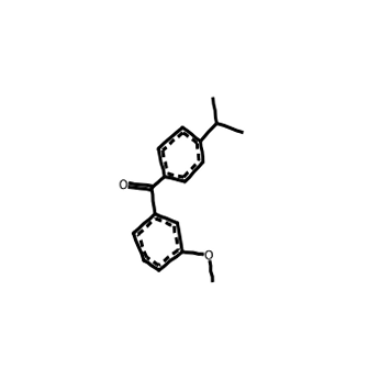 COc1cccc(C(=O)c2ccc(C(C)C)cc2)c1